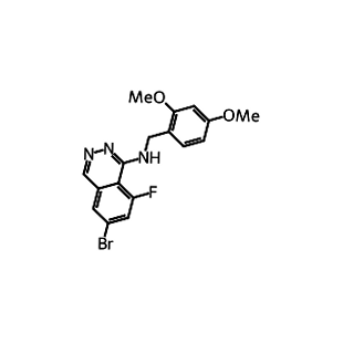 COc1ccc(CNc2nncc3cc(Br)cc(F)c23)c(OC)c1